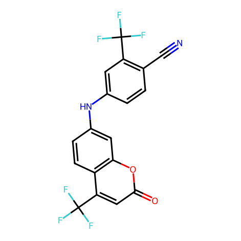 N#Cc1ccc(Nc2ccc3c(C(F)(F)F)cc(=O)oc3c2)cc1C(F)(F)F